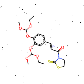 CCOC(OC)Oc1ccc(/C=C/C(=O)N2CCSC2=S)cc1OC(OC)OCC